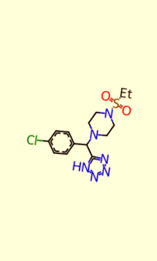 CCS(=O)(=O)N1CCN(C(c2ccc(Cl)cc2)c2nnn[nH]2)CC1